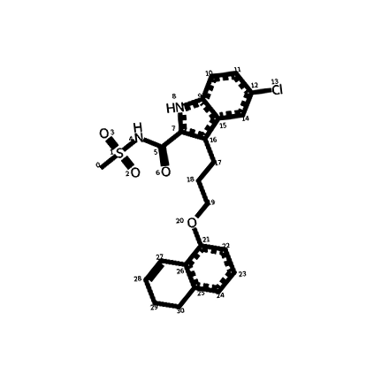 CS(=O)(=O)NC(=O)c1[nH]c2ccc(Cl)cc2c1CCCOc1cccc2c1C=CCC2